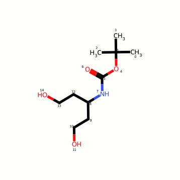 CC(C)(C)OC(=O)NC(CCO)CCO